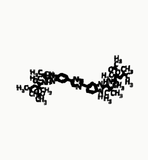 CC(=O)OC(C)(CC(C)C)C(=O)N[C@@H](c1nc2cc(-c3cnc(-c4ccc5[nH]c([C@H](NC(=O)C(C)(CC(C)C)OC(C)=O)C(C)(C)C)nc5c4)cn3)ccc2[nH]1)C(C)(C)C